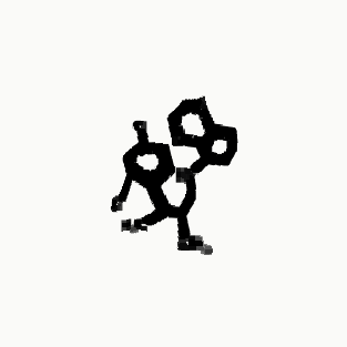 CC(CNc1cccc2nccnc12)C(C)c1ccc(Cl)cc1Cl